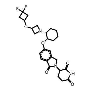 O=C1CCC(N2Cc3cc(O[C@@H]4CCCC[C@H]4N4CC(OC5CC(F)(F)C5)C4)ccc3C2=O)C(=O)N1